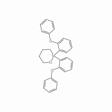 c1ccc(Oc2ccccc2[Si]2(c3ccccc3Oc3ccccc3)CCCCO2)cc1